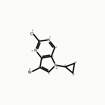 Clc1ncc2c(n1)c(Br)cn2C1CC1